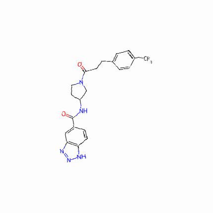 O=C(NC1CCN(C(=O)CCc2ccc(C(F)(F)F)cc2)C1)c1ccc2[nH]nnc2c1